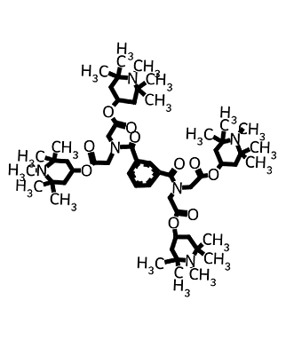 CN1C(C)(C)CC(OC(=O)CN(CC(=O)OC2CC(C)(C)N(C)C(C)(C)C2)C(=O)c2cccc(C(=O)N(CC(=O)OC3CC(C)(C)N(C)C(C)(C)C3)CC(=O)OC3CC(C)(C)N(C)C(C)(C)C3)c2)CC1(C)C